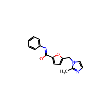 Cc1nccn1Cc1ccc(C([O])=Nc2ccccc2)o1